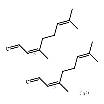 CC(C)=CCC/C(C)=C\C=O.CC(C)=CCC/C(C)=C\C=O.[Ca+2]